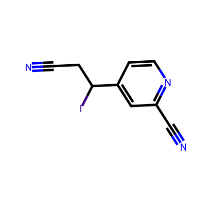 N#CCC(I)c1ccnc(C#N)c1